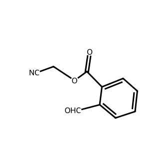 N#CCOC(=O)c1ccccc1C=O